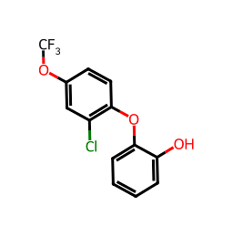 Oc1ccccc1Oc1ccc(OC(F)(F)F)cc1Cl